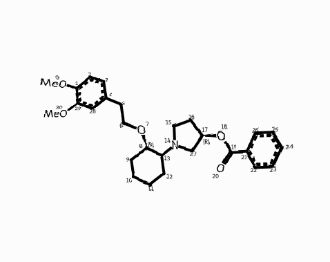 COc1ccc(CCO[C@@H]2CCCCC2N2CC[C@@H](OC(=O)c3ccccc3)C2)cc1OC